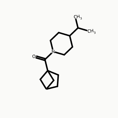 CC(C)C1CCN(C(=O)C23CCC(C2)C3)CC1